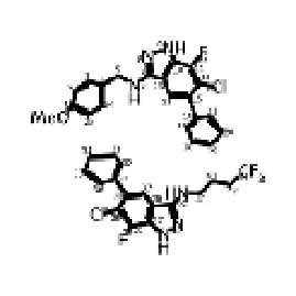 COc1ccc(CNc2n[nH]c3c(F)c(Cl)c(-c4ccccc4)cc23)cc1.Fc1c(Cl)c(-c2ccccc2)cc2c(NCCCC(F)(F)F)n[nH]c12